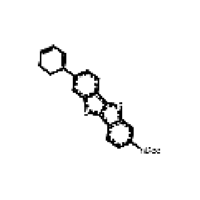 CCCCCCCCCCc1ccc2c(c1)sc1c3ccc(C4=CC=CCC4)cc3sc21